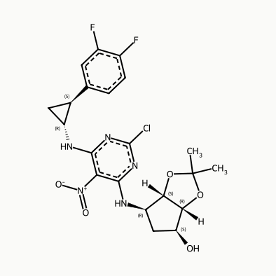 CC1(C)O[C@@H]2[C@H](O1)[C@@H](O)C[C@H]2Nc1nc(Cl)nc(N[C@@H]2C[C@H]2c2ccc(F)c(F)c2)c1[N+](=O)[O-]